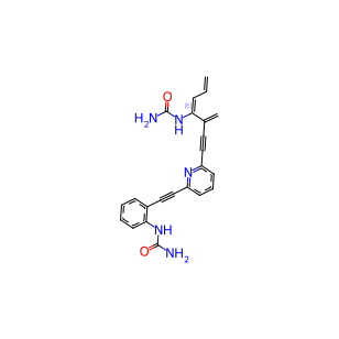 C=C/C=C(/NC(N)=O)C(=C)C#Cc1cccc(C#Cc2ccccc2NC(N)=O)n1